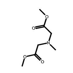 COC(=O)CN(C)CC(=O)OC